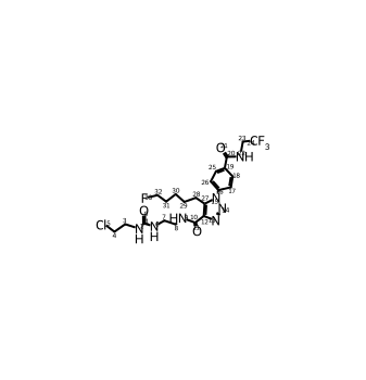 O=C(NCCCl)NCCNC(=O)c1nnn(-c2ccc(C(=O)NCC(F)(F)F)cc2)c1CCCCCF